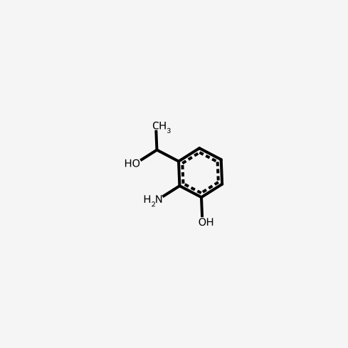 CC(O)c1cccc(O)c1N